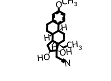 CC[C@]12CC[C@@H]3c4ccc(OC)cc4CC[C@H]3[C@@H]1C[C@@H](O)[C@]2(O)CC#N